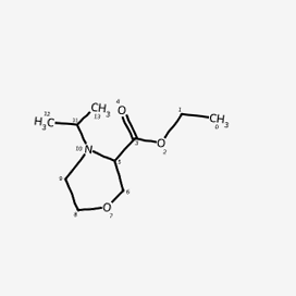 CCOC(=O)C1COCCN1C(C)C